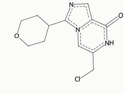 O=c1[nH]c(CCl)cn2c(C3CCOCC3)ncc12